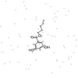 CCCCCOC(=O)c1cc(O)cc(O)c1